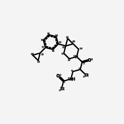 CCC(=O)NCC(CC)C(=O)N1CCC2(c3cccc(C4CC4)c3)CC2C1